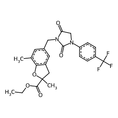 CCOC(=O)C1(C)Cc2cc(CN3C(=O)CN(c4ccc(C(F)(F)F)cc4)C3=O)cc(C)c2O1